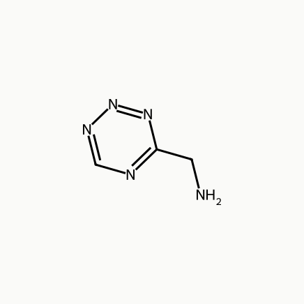 NCc1ncnnn1